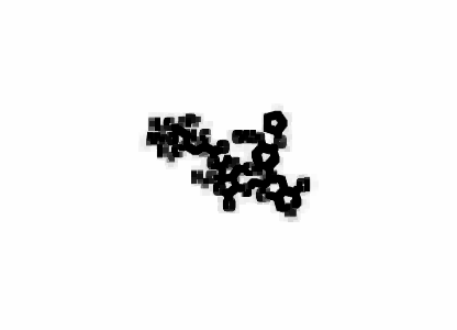 CCC[C@](C)(C[C@@H](C)C[C@@H](C)C(=O)O[C@H](I)[C@@]1(C)OC(=O)C(SCCN(Cc2c(Cl)cncc2Cl)c2ccc(OC)c(OC3CCCC3)c2)[C@@H]1[C@@H](C)C(C)=O)OC